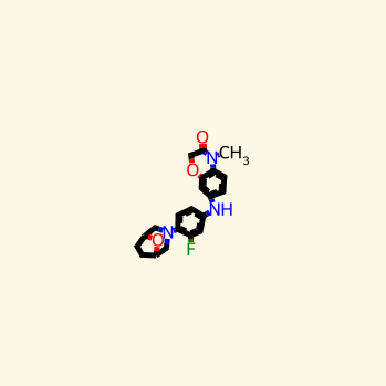 CN1C(=O)COc2cc(Nc3ccc(N4CC5CCC(C4)O5)c(F)c3)ccc21